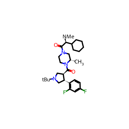 CN[C@H](C(=O)N1CCN(C(=O)[C@@H]2CN(C(C)(C)C)C[C@H]2c2ccc(F)cc2F)[C@@H](C)C1)C1CCCCC1